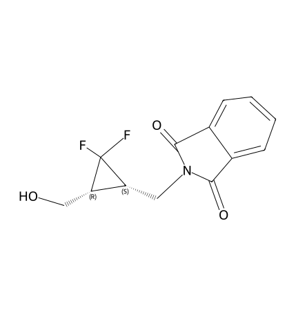 O=C1c2ccccc2C(=O)N1C[C@@H]1[C@H](CO)C1(F)F